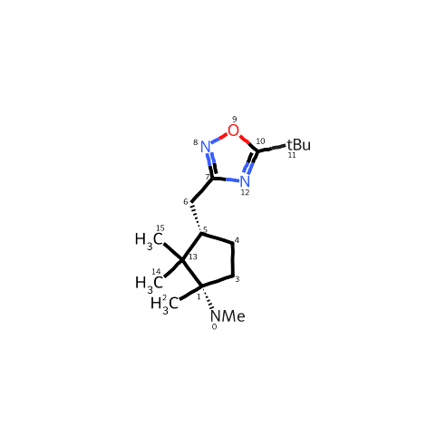 CN[C@@]1(C)CC[C@@H](Cc2noc(C(C)(C)C)n2)C1(C)C